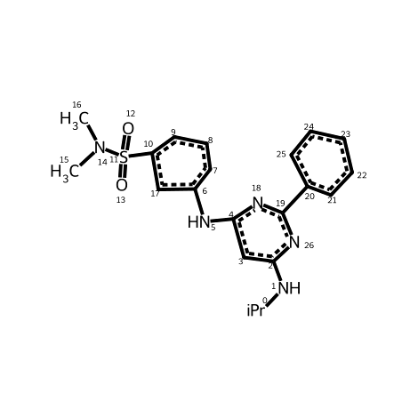 CC(C)Nc1cc(Nc2cccc(S(=O)(=O)N(C)C)c2)nc(-c2ccccc2)n1